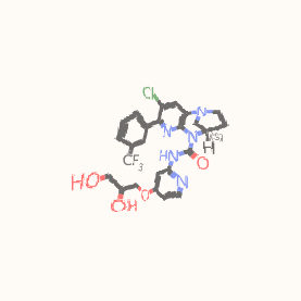 O=C(Nc1cc(OCC(O)CO)ccn1)N1c2nc(-c3cccc(C(F)(F)F)c3)c(Cl)cc2N2CC[C@H]1C2